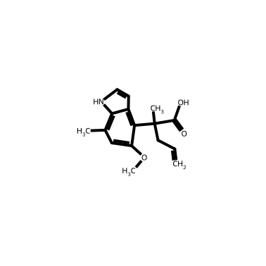 C=CCC(C)(C(=O)O)c1c(OC)cc(C)c2[nH]ccc12